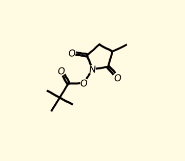 CC1CC(=O)N(OC(=O)C(C)(C)C)C1=O